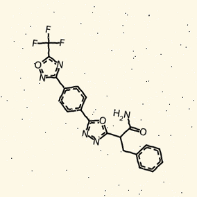 NC(=O)C(Cc1ccccc1)c1nnc(-c2ccc(-c3noc(C(F)(F)F)n3)cc2)o1